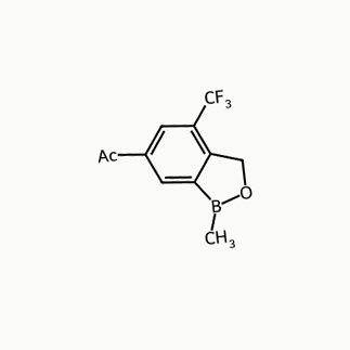 CB1OCc2c1cc(C(C)=O)cc2C(F)(F)F